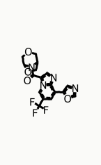 O=C(c1cnc2c(-c3cnco3)cc(C(F)(F)F)cn12)N1C2COCC1OC2